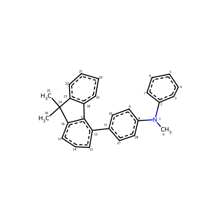 CN(c1ccccc1)c1ccc(-c2cccc3c2-c2ccccc2C3(C)C)cc1